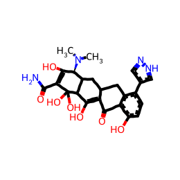 CN(C)[C@@H]1C(O)=C(C(N)=O)C(O)(O)C2C(O)=C3C(=O)c4c(O)ccc(-c5cn[nH]c5)c4CC3CC21